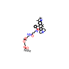 CNC(=O)OCCCOC(C)(C)OCCCNC(=O)CCCN(C)C(=O)c1ccccc1C1=c2cc3c(cc2C(C)(C)c2c1cc1c4c2CCCN4CCC1)=NC(C)(C)CC3C